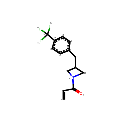 C=CC(=O)N1CC(Cc2ccc(C(F)(F)F)cc2)C1